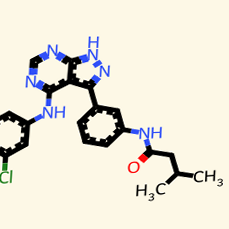 CC(C)CC(=O)Nc1cccc(-c2n[nH]c3ncnc(Nc4cccc(Cl)c4)c23)c1